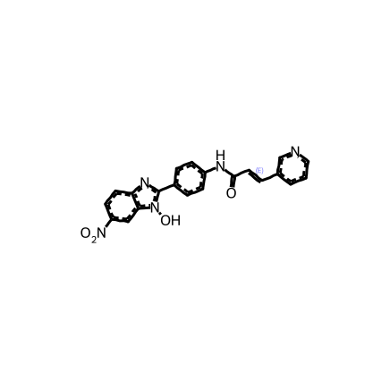 O=C(/C=C/c1cccnc1)Nc1ccc(-c2nc3ccc([N+](=O)[O-])cc3n2O)cc1